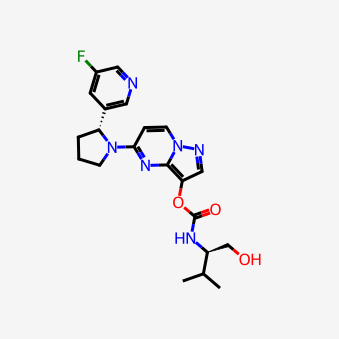 CC(C)[C@H](CO)NC(=O)Oc1cnn2ccc(N3CCC[C@@H]3c3cncc(F)c3)nc12